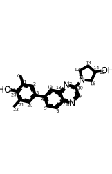 Cc1cc(-c2ccc3ncc(N4CCC(O)C4)nc3c2)cc(C)c1O